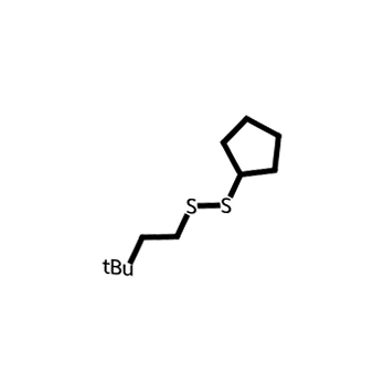 CC(C)(C)CCSSC1CCCC1